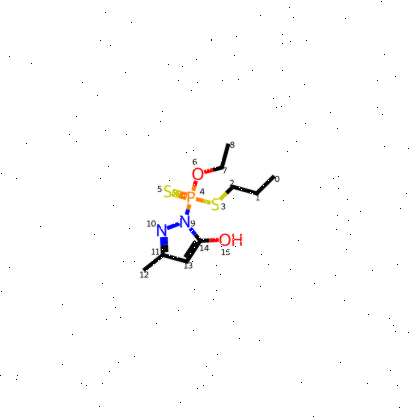 CCCSP(=S)(OCC)n1nc(C)cc1O